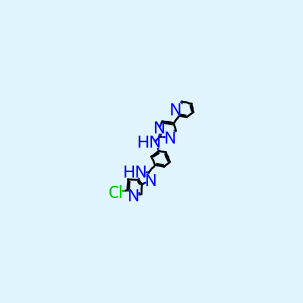 Clc1cc2[nH]c(-c3cccc(Nc4ncc(-c5ccccn5)cn4)c3)nc2cn1